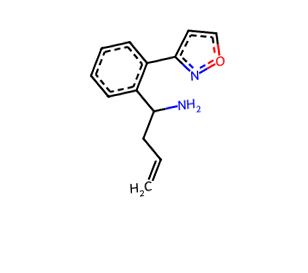 C=CCC(N)c1ccccc1-c1ccon1